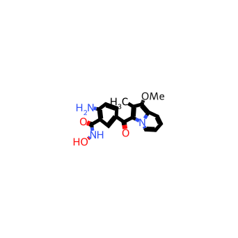 COc1c(C)c(C(=O)c2ccc(N)c(C(=O)NO)c2)n2ccccc12